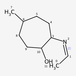 C/C=N\C1CCC(C)CCC1O